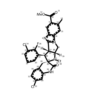 CCN1[C@H]2Cn3c(nc4cc(C(=O)OC)c(C)cc43)[C@H]2[C@H](c2cccc(Cl)c2F)[C@@]12Cc1ccc(Cl)cc1NC2=O